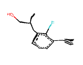 C#Cc1cccc([C](C)CO)c1F